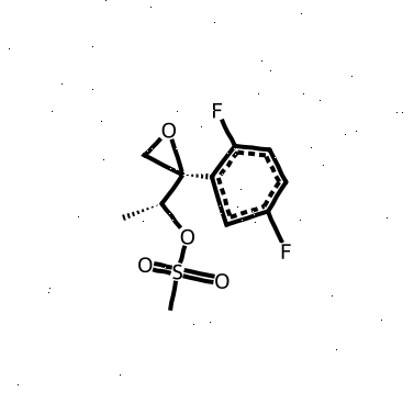 C[C@@H](OS(C)(=O)=O)[C@@]1(c2cc(F)ccc2F)CO1